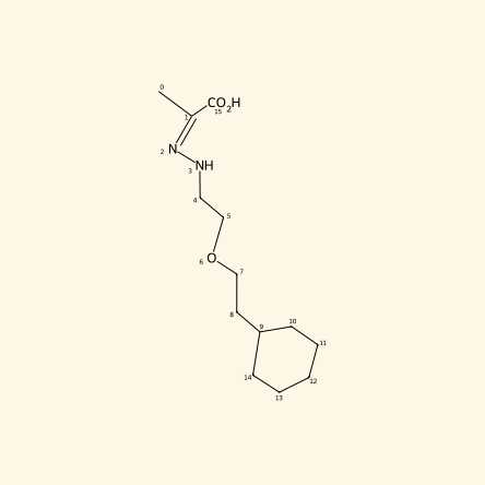 C/C(=N/NCCOCCC1CCCCC1)C(=O)O